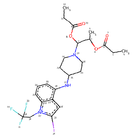 CCC(=O)OC(C)C(OC(=O)CC)N1CCC(Nc2cccc3c2cc(I)n3CC(F)(F)F)CC1